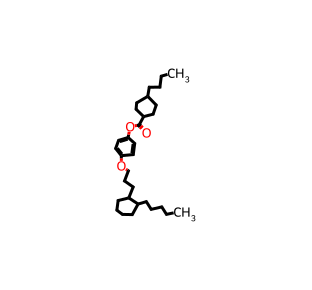 CCCCCC1CCCCC1CCCOc1ccc(OC(=O)C2CCC(CCCC)CC2)cc1